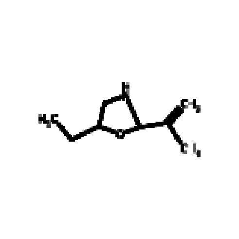 C=C(C)C1NCC(CC)O1